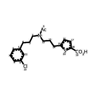 CC(=O)N(CCCc1cccc(Cl)c1)CCCc1ccc(C(=O)O)s1